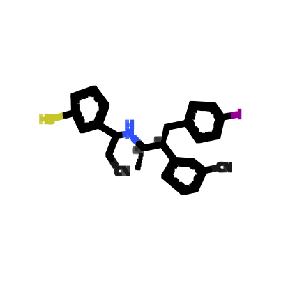 C[C@H](NC(CC#N)c1cccc(S)c1)[C@@H](Cc1ccc(I)cc1)c1cccc(C#N)c1